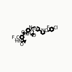 O=C(Nc1ccc2nc(CN3CC=C(c4cccc(OCc5ccc(Cl)cc5F)n4)CC3)n(C[C@@H]3CCO3)c2c1)c1cc(C(F)(F)F)c2c(c1)C1(CC1)C(=O)N2